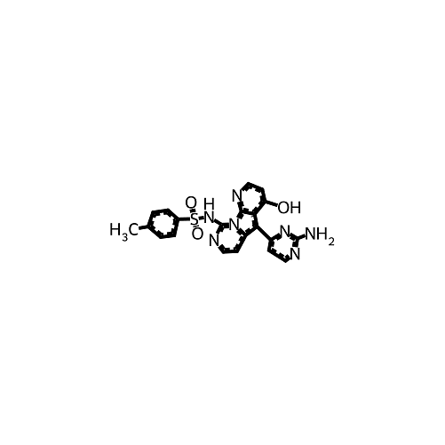 Cc1ccc(S(=O)(=O)Nc2nccc3c(-c4ccnc(N)n4)c4c(O)ccnc4n23)cc1